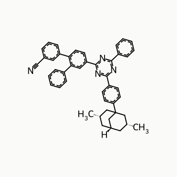 C[C@@H]1C[C@@H]2C[C@H](C)CC(c3ccc(-c4nc(-c5ccccc5)nc(-c5ccc(-c6cccc(C#N)c6)c(-c6ccccc6)c5)n4)cc3)(C1)C2